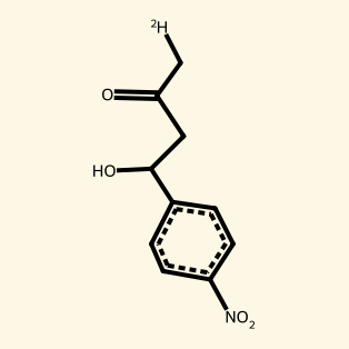 [2H]CC(=O)CC(O)c1ccc([N+](=O)[O-])cc1